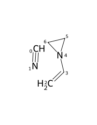 C#N.C=CN1CC1